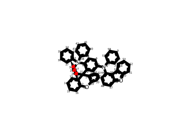 c1ccc(N(c2ccc3c(c2)C2(c4ccccc4Oc4ccccc42)c2ccccc2[Si]3(c2ccccc2)c2ccccc2)c2cccc3oc4ccccc4c23)cc1